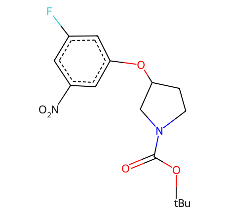 CC(C)(C)OC(=O)N1CCC(Oc2cc(F)cc([N+](=O)[O-])c2)C1